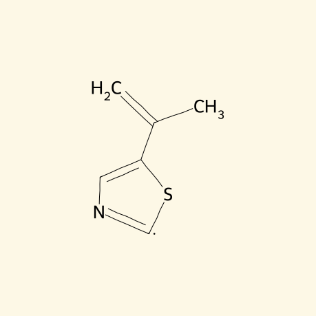 C=C(C)c1cn[c]s1